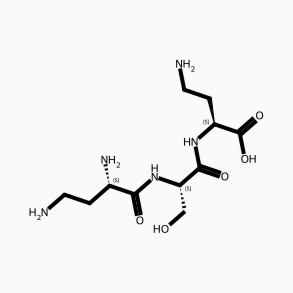 NCC[C@H](NC(=O)[C@H](CO)NC(=O)[C@@H](N)CCN)C(=O)O